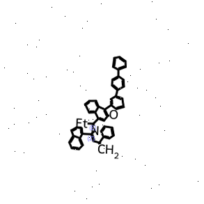 C=C(/C=C(\N=C(/CC)c1cc2oc3ccc(-c4ccc(-c5ccccc5)cc4)cc3c2c2ccccc12)c1cccc2ccccc12)c1ccccc1